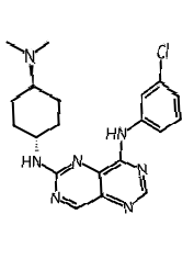 CN(C)[C@H]1CC[C@H](Nc2ncc3ncnc(Nc4cccc(Cl)c4)c3n2)CC1